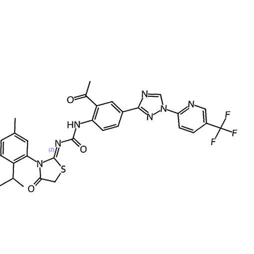 CC(=O)c1cc(-c2ncn(-c3ccc(C(F)(F)F)cn3)n2)ccc1NC(=O)/N=C1\SCC(=O)N1c1cc(C)ccc1C(C)C